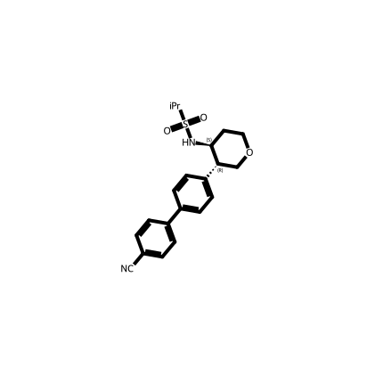 CC(C)S(=O)(=O)N[C@H]1CCOC[C@@H]1c1ccc(-c2ccc(C#N)cc2)cc1